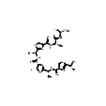 CCC(C)[C@H](NC(=O)C1CSC([C@H](NC(=O)[C@H]2N=C(C(NC(=O)C3CSC([C@H](N)C(C)C)=N3)[C@@H](C)CC)O[C@@H]2C)C(C)C)=N1)C(=O)N[C@H](C=O)CC